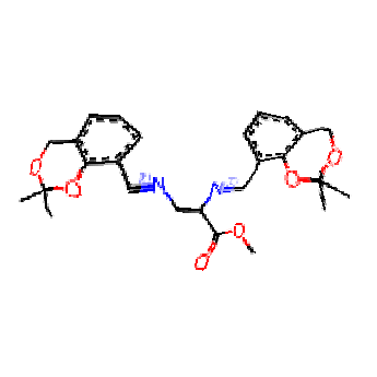 COC(=O)C(C/N=C/c1cccc2c1OC(C)(C)OC2)/N=C/c1cccc2c1OC(C)(C)OC2